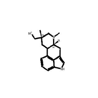 CN1C[C@@](C)(CC#N)CC2c3cccc4[nH]cc(c34)C[C@H]21